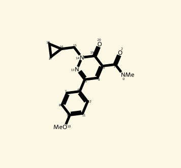 CNC(=O)c1cc(-c2ccc(OC)cc2)nn(CC2CC2)c1=O